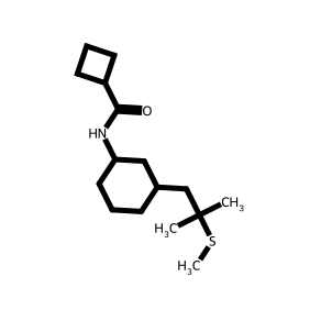 CSC(C)(C)CC1CCCC(NC(=O)C2CCC2)C1